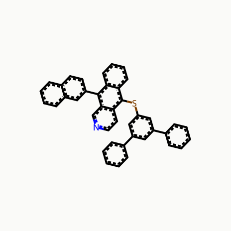 c1ccc(-c2cc(Sc3c4ccccc4c(-c4ccc5ccccc5c4)c4cnccc34)cc(-c3ccccc3)c2)cc1